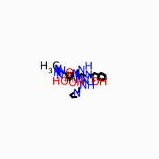 Cn1nnc([C@H]2O[C@@H](n3cnc4c(N[C@H](CO)Cc5ccccc5)nc(NCCN5CCCC5)nc43)[C@H](O)[C@@H]2O)n1